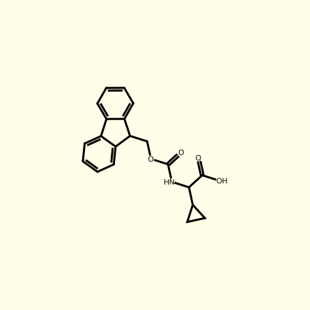 O=C(NC(C(=O)O)C1CC1)OCC1c2ccccc2-c2ccccc21